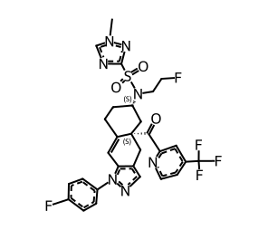 Cn1cnc(S(=O)(=O)N(CCF)[C@H]2CCC3=Cc4c(cnn4-c4ccc(F)cc4)C[C@]3(C(=O)c3cc(C(F)(F)F)ccn3)C2)n1